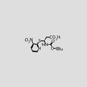 CC(C)(C)OC(=O)N[C@H](CC(=O)O)Sc1ncccc1[N+](=O)[O-]